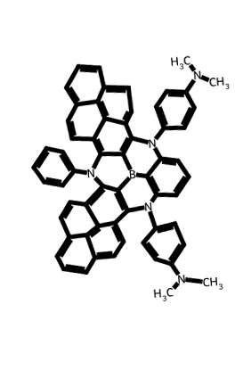 CN(C)c1ccc(N2c3cccc4c3B3c5c2c2ccc6cccc7ccc(c5N(c5ccccc5)c5c3c(c3ccc8cccc9ccc5c3c89)N4c3ccc(N(C)C)cc3)c2c67)cc1